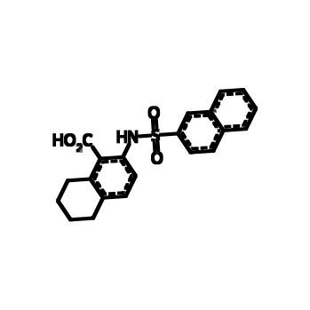 O=C(O)c1c(NS(=O)(=O)c2ccc3ccccc3c2)ccc2c1CCCC2